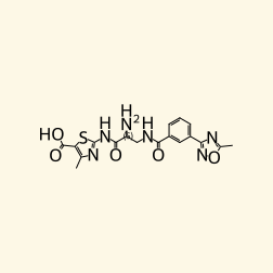 Cc1nc(-c2cccc(C(=O)NC[C@H](N)C(=O)Nc3nc(C)c(C(=O)O)s3)c2)no1